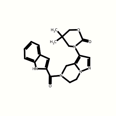 CC1(C)COC(=O)N(c2cnn3c2CN(C(=O)c2cc4ccccc4[nH]2)CC3)C1